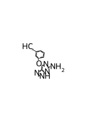 C#Cc1cccc(Oc2nc(N)nc3[nH]cnc23)c1